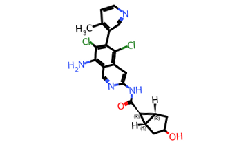 Cc1ccncc1-c1c(Cl)c(N)c2cnc(NC(=O)[C@H]3[C@@H]4CC(O)C[C@@H]43)cc2c1Cl